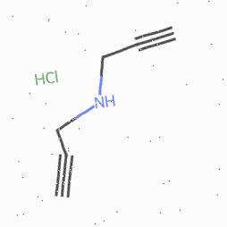 C#CCNCC#C.Cl